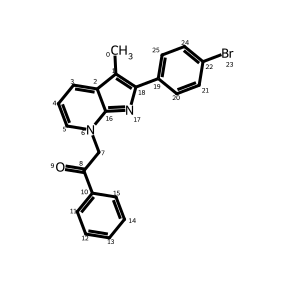 Cc1c2cccn(CC(=O)c3ccccc3)c-2nc1-c1ccc(Br)cc1